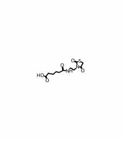 O=C(O)CCCCC(=O)NCCN1C(=O)CSC1=O